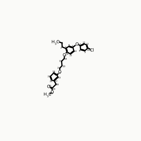 CCCc1cc(Oc2ccc(Cl)cc2)ccc1OCCCCOc1cccc(CC(=O)OC)c1